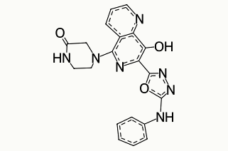 O=C1CN(c2nc(-c3nnc(Nc4ccccc4)o3)c(O)c3ncccc23)CCN1